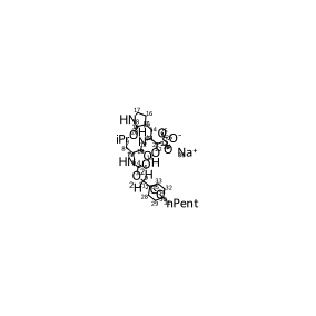 [2H]C([2H])(OC(=O)N[C@@H](CC(C)C)C(=O)N[C@@H](C[C@@H]1CCNC1=O)C(O)S(=O)(=O)[O-])C12CCC(CCCCC)(CC1)CC2.[Na+]